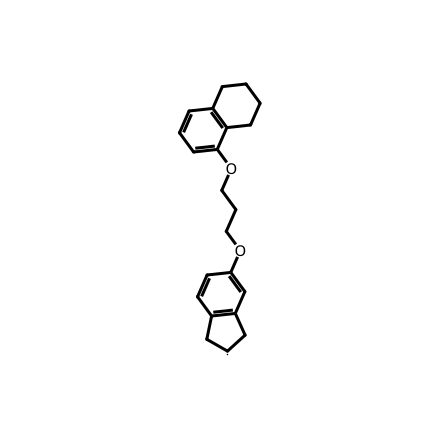 [CH]1Cc2ccc(OCCCOc3cccc4c3CCCC4)cc2C1